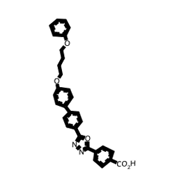 O=C(O)c1ccc(-c2nnc(-c3ccc(-c4ccc(OCCCCOc5ccccc5)cc4)cc3)o2)cc1